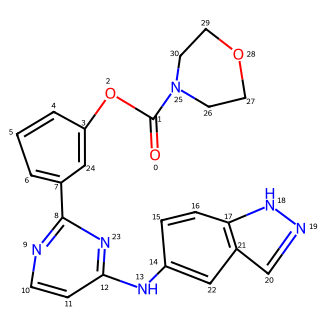 O=C(Oc1cccc(-c2nccc(Nc3ccc4[nH]ncc4c3)n2)c1)N1CCOCC1